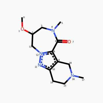 COC1CN(C)C(=O)c2c3c(nn2C1)CCN(C)C3